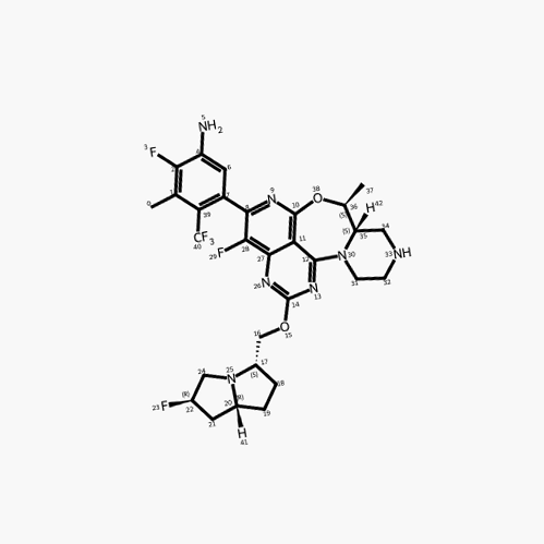 Cc1c(F)c(N)cc(-c2nc3c4c(nc(OC[C@@H]5CC[C@@H]6C[C@@H](F)CN65)nc4c2F)N2CCNC[C@H]2[C@H](C)O3)c1C(F)(F)F